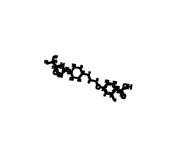 Cc1cc(OCCCC2CCN(c3noc(C(C)C)n3)CC2)ccc1C(=O)O